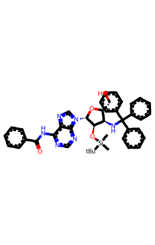 CC(C)(C)[Si](C)(C)O[C@@H]1[C@H](NC(c2ccccc2)(c2ccccc2)c2ccccc2)[C@@H](CO)O[C@H]1n1cnc2c(NC(=O)c3ccccc3)ncnc21